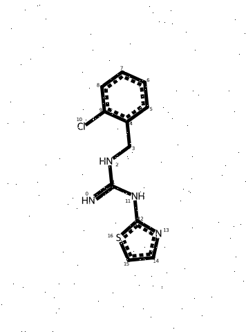 N=C(NCc1ccccc1Cl)Nc1nccs1